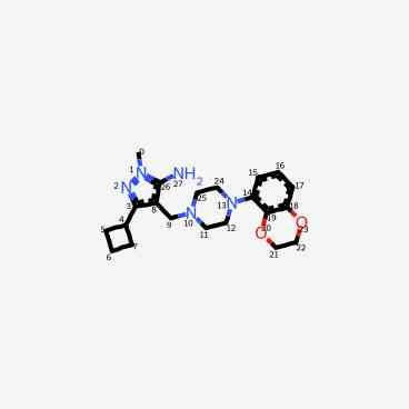 Cn1nc(C2CCC2)c(CN2CCN(c3cccc4c3OCCO4)CC2)c1N